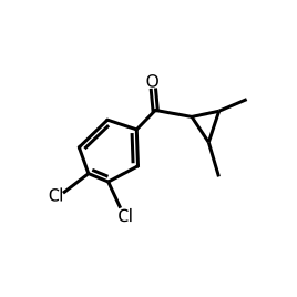 CC1C(C)C1C(=O)c1ccc(Cl)c(Cl)c1